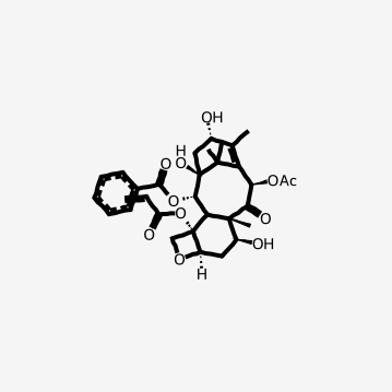 C=CC(=O)O[C@@]12CO[C@@H]1C[C@H](O)[C@@]1(C)C(=O)[C@H](OC(C)=O)C3=C(C)[C@@H](O)C[C@@](O)([C@@H](OC(=O)c4ccccc4)C12)C3(C)C